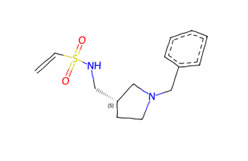 C=CS(=O)(=O)NC[C@H]1CCN(Cc2ccccc2)C1